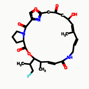 CC1=C\C(O)CC(=O)Cc2nc(co2)C(=O)N2CCCC2C(=O)OC(C(C)CF)C(C)/C=C/C(=O)NC\C=C\1